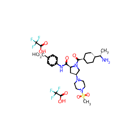 C[C@H](N)[C@H]1CC[C@H](C(=O)N2C[C@@H](N3CCN(S(C)(=O)=O)CC3)C[C@H]2C(=O)Nc2ccc(C(=O)O)cc2)CC1.O=C(O)C(F)(F)F.O=C(O)C(F)(F)F